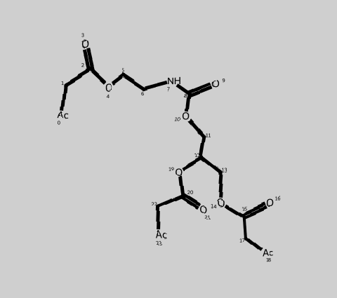 CC(=O)CC(=O)OCCNC(=O)OCC(COC(=O)CC(C)=O)OC(=O)CC(C)=O